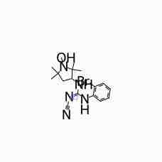 CC1(C)CC(N/C(=N/C#N)Nc2ccccc2Br)C(C)(C)N1O